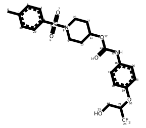 Cc1ccc(S(=O)(=O)N2CCC(OC(=O)Nc3ccc(OC(CO)C(F)(F)F)cc3)CC2)cc1